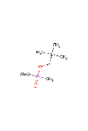 COP(C)(=O)OC[Si](C)(C)C